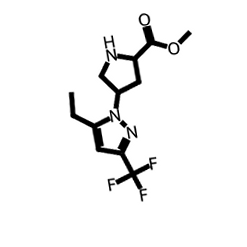 CCc1cc(C(F)(F)F)nn1C1CNC(C(=O)OC)C1